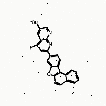 CC(C)(C)c1cnc2nc(-c3ccc4c(c3)oc3ccc5ccccc5c34)cc(F)c2c1